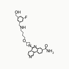 NC(=O)c1ccc2c(c1)nc(N1CC(OCCCCNCc3cc(F)cc(CO)c3)C1)c1ccncc12